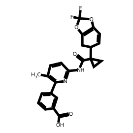 Cc1ccc(NC(=O)C2(C3C=CC4=C(C3)OC(F)(F)O4)CC2)nc1-c1cccc(C(=O)O)c1